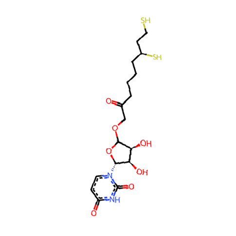 O=C(CCCCC(S)CCS)COC1O[C@@H](n2ccc(=O)[nH]c2=O)[C@H](O)[C@@H]1O